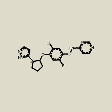 Fc1cc(OC2CCC[C@H]2c2ccn[nH]2)c(Cl)cc1SNc1ccncn1